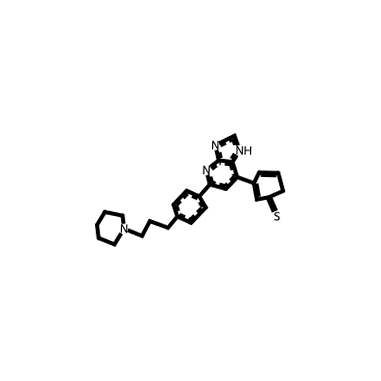 S=C1C=C(c2cc(-c3ccc(CCCN4CCCCC4)cc3)nc3nc[nH]c23)C=CC1